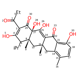 CCC(=O)C1=C(O)C(C(C)C)[C@@]2(C)C[C@@]3(C)Cc4c(C)ccc(O)c4C(=O)C3=C(O)[C@@]2(O)C1=O